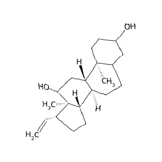 C=C[C@H]1CC[C@H]2[C@@H]3CCC4CC(O)CC[C@]4(C)[C@H]3CC(O)[C@]12C